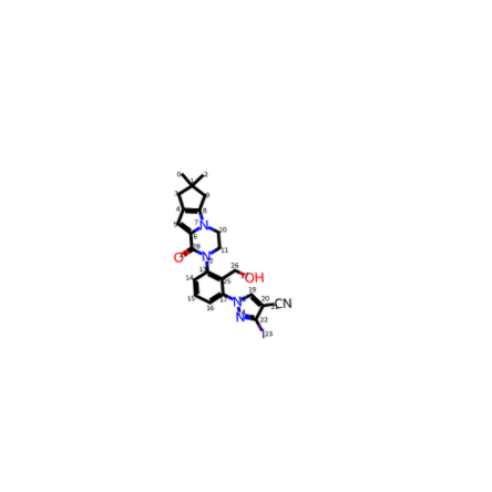 CC1(C)Cc2cc3n(c2C1)CCN(c1cccc(-n2cc(C#N)c(I)n2)c1CO)C3=O